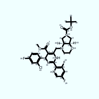 COC(=O)C1=C(CN2CCO[C@@H]3CN(C(=O)OC(C)(C)C)C[C@@H]32)NC(c2ncc(F)cc2F)=N[C@H]1c1ccc(F)cc1Cl